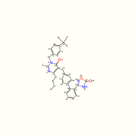 CCCCc1nc(C)n(Cc2ccc(C(C)(C)C)cc2)c(=O)c1Cc1ccc(-c2ccccc2-c2noc(=O)[nH]2)cc1